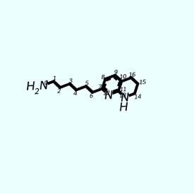 NCCCCCCc1ccc2c(n1)NCCC2